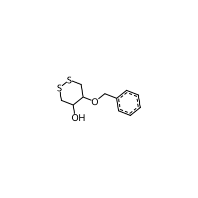 OC1CSSCC1OCc1ccccc1